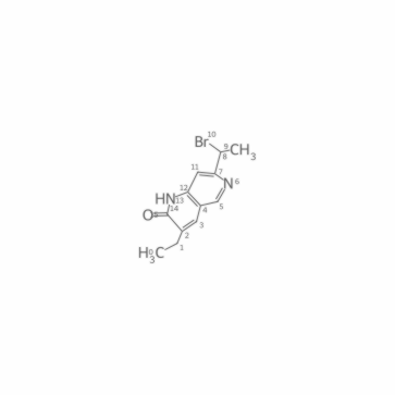 CCc1cc2cnc(C(C)Br)cc2[nH]c1=O